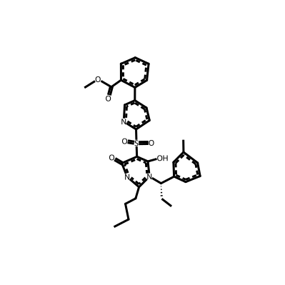 CCCCc1nc(=O)c(S(=O)(=O)c2ccc(-c3ccccc3C(=O)OC)cn2)c(O)n1[C@@H](CC)c1cccc(C)c1